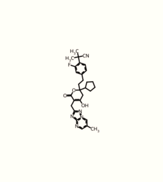 Cc1cnc2nc(CC3=C(O)CC(CCc4ccc(C(C)(C)C#N)c(F)c4)(C4CCCC4)OC3=O)nn2c1